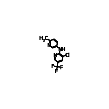 Cc1ccc(Nc2ncc(C(F)(F)F)cc2Cl)cn1